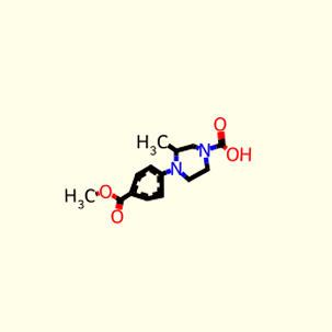 COC(=O)c1ccc(N2CCN(C(=O)O)CC2C)cc1